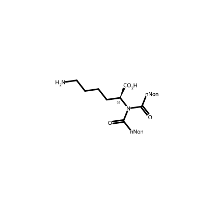 CCCCCCCCCC(=O)N(C(=O)CCCCCCCCC)[C@@H](CCCCN)C(=O)O